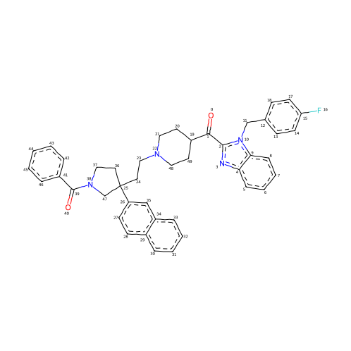 O=C(c1nc2ccccc2n1Cc1ccc(F)cc1)C1CCN(CCC2(c3ccc4ccccc4c3)CCN(C(=O)c3ccccc3)C2)CC1